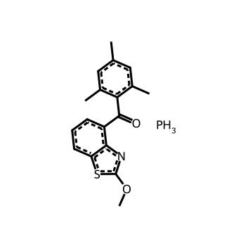 COc1nc2c(C(=O)c3c(C)cc(C)cc3C)cccc2s1.P